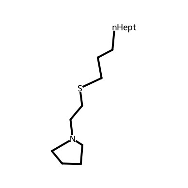 CCCCCCCCCCSCCN1CCCC1